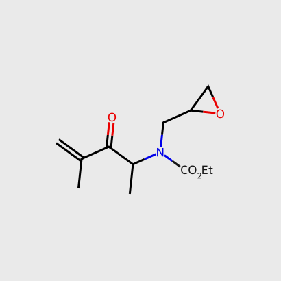 C=C(C)C(=O)C(C)N(CC1CO1)C(=O)OCC